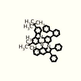 CC(C)(C)c1ccc2c(c1)c1cc(C(C)(C)C)cc3c1n2-c1cc(-c2ccccc2-c2ccccc2)cc2c1B3c1c3ccccc3cc3c(-c4ccccc4)c(-c4ccccc4)n-2c13